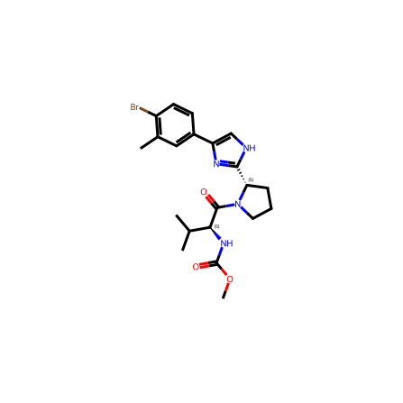 COC(=O)N[C@H](C(=O)N1CCC[C@H]1c1nc(-c2ccc(Br)c(C)c2)c[nH]1)C(C)C